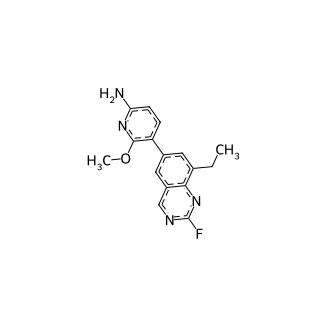 CCc1cc(-c2ccc(N)nc2OC)cc2cnc(F)nc12